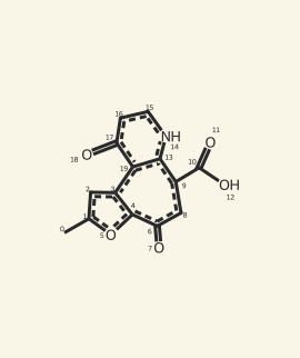 Cc1cc2c(o1)c(=O)cc(C(=O)O)c1[nH]ccc(=O)c12